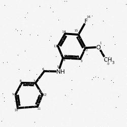 COc1cc(NCc2ccccc2)ccc1F